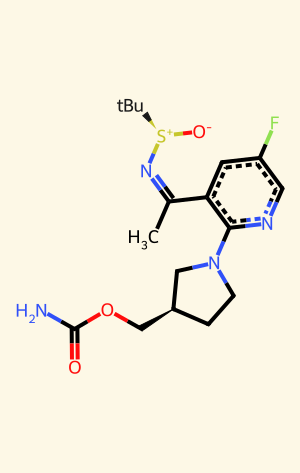 C/C(=N/[S@+]([O-])C(C)(C)C)c1cc(F)cnc1N1CC[C@@H](COC(N)=O)C1